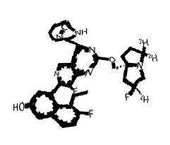 [2H]C1([2H])CC[C@]2(COc3nc(N4CC5CCC4CN5)c4cnc(-c5cc(O)cc6ccc(F)c(CC)c56)c(F)c4n3)C[C@]([2H])(F)CN12